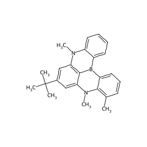 Cc1cccc2c1N(C)c1cc(C(C)(C)C)cc3c1B2c1ccccc1N3C